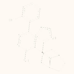 Nc1nnc(-c2ccccc2O)cc1N1CC2CCC(C1)N2Cc1ncc[nH]1